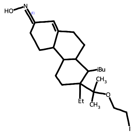 CCC(C)C1C2CCC3=C/C(=N/O)CCC3C2CCC1(CC)C(C)(C)OCCI